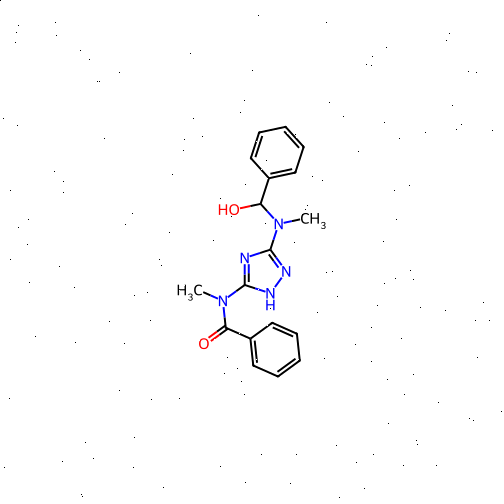 CN(C(=O)c1ccccc1)c1nc(N(C)C(O)c2ccccc2)n[nH]1